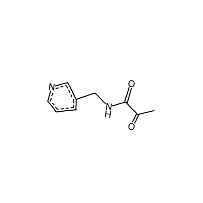 CC(=O)C(=O)NCc1cccnc1